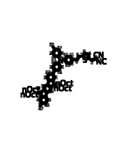 [C-]#[N+]/C(C#N)=C/c1ccc(/C=C/c2ccc(N(c3ccc(C)cc3)c3ccc(-c4ccc5c(c4)C(CCCCCCCC)(CCCCCCCC)c4cc6c(cc4-5)C(CCCCCCCC)(CCCCCCCC)c4cc(C)ccc4-6)cc3)cc2)s1